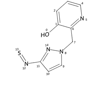 Oc1cccnc1Cn1ccc(N=S)n1